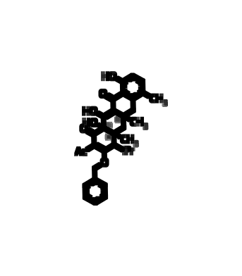 CC(=O)C1=C(OCc2ccccc2)C(C(C)C)[C@@]2(C)C[C@@]3(C)Cc4c(C)ccc(O)c4C(=O)C3=C(O)[C@@]2(O)C1=O